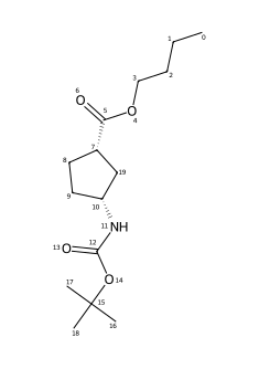 CCCCOC(=O)[C@H]1CC[C@@H](NC(=O)OC(C)(C)C)C1